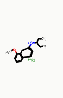 CCC(CC)NC1CCc2cccc(OC)c2C1.Cl